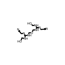 N#CCN=C(NCO)NCOCNC(=NCC#N)NCO